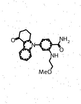 COCCNc1cc(-n2c3c(c4ccccc42)C(=O)CCC3)ccc1C(N)=O